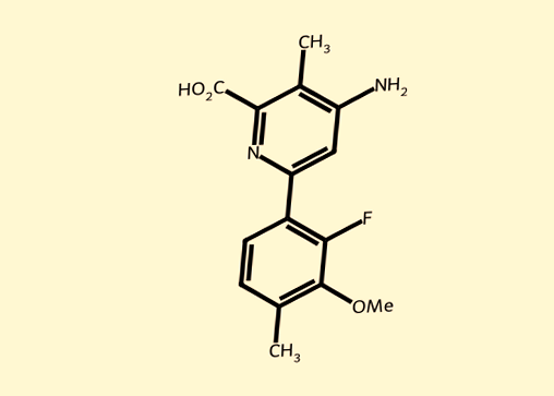 COc1c(C)ccc(-c2cc(N)c(C)c(C(=O)O)n2)c1F